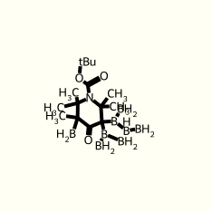 BBB(B)C1(B(B)B)C(=O)C(B)(C)C(C)(C)N(C(=O)OC(C)(C)C)C1(C)C